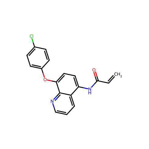 C=CC(=O)Nc1ccc(Oc2ccc(Cl)cc2)c2ncccc12